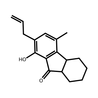 C=CCc1cc(C)c2c(c1O)C(=O)C1CCCCC21